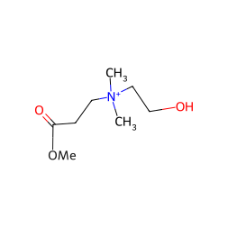 COC(=O)CC[N+](C)(C)CCO